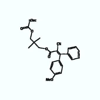 CCCCCCCCCCC(=O)OCC(C)(C)COC(=O)/C(C#N)=C(/c1ccccc1)c1ccc(OC)cc1